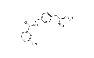 N#Cc1cccc(C(=O)NCc2ccc(C[C@H](N)C(=O)O)cc2)c1